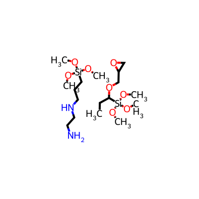 CCC(OCC1CO1)[Si](OC)(OC)OC.CO[Si](CCCNCCN)(OC)OC